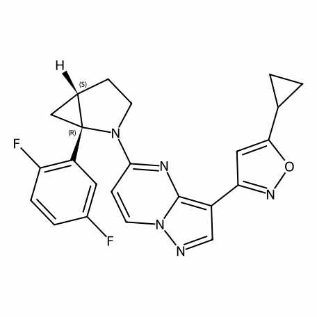 Fc1ccc(F)c([C@@]23C[C@@H]2CCN3c2ccn3ncc(-c4cc(C5CC5)on4)c3n2)c1